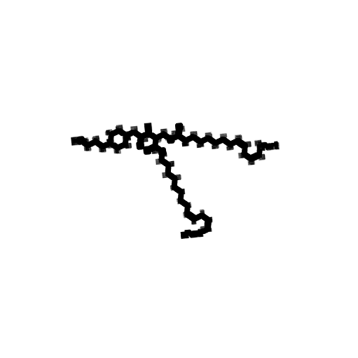 CCCCC/C=C\C/C=C\CCCCCCCCOC(=O)C(COC(=O)CCCCCCC/C=C\C/C=C\CCCCC)NC(=O)CN1CCN(CCCO)CC1